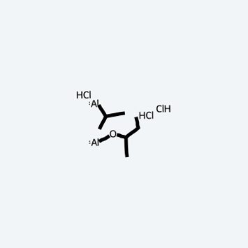 CCC(C)[O][Al].C[CH](C)[Al].Cl.Cl.Cl